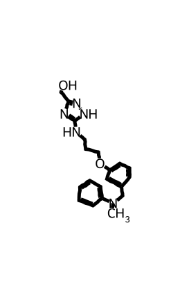 CN(Cc1cccc(OCCCNc2nc(CO)n[nH]2)c1)c1ccccc1